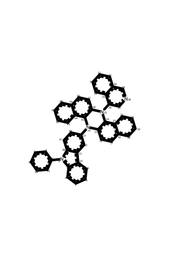 c1ccc(-n2c3ccccc3c3cc(N4c5ccc6ccccc6c5N(c5cncc6ccccc56)c5ccc6ccccc6c54)ccc32)cc1